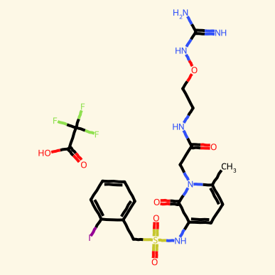 Cc1ccc(NS(=O)(=O)Cc2ccccc2I)c(=O)n1CC(=O)NCCONC(=N)N.O=C(O)C(F)(F)F